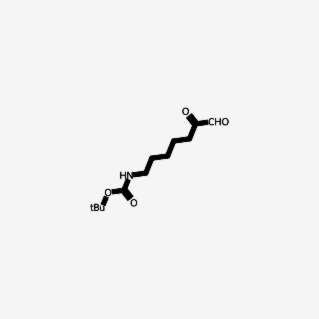 CC(C)(C)OC(=O)NCCCCCC(=O)C=O